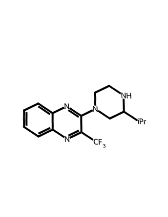 CC(C)C1CN(c2nc3ccccc3nc2C(F)(F)F)CCN1